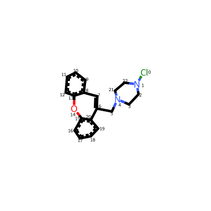 ClN1CCN(CC2=Cc3ccccc3Oc3ccccc32)CC1